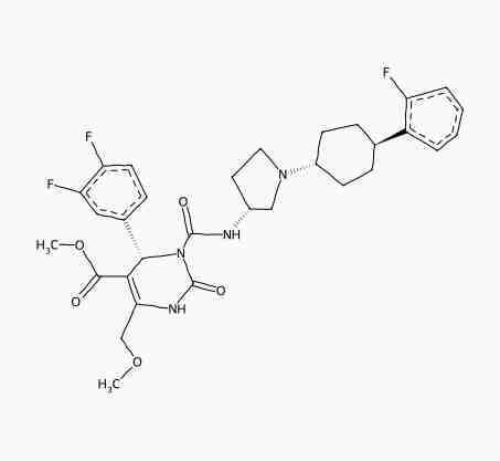 COCC1=C(C(=O)OC)[C@H](c2ccc(F)c(F)c2)N(C(=O)N[C@@H]2CCN([C@H]3CC[C@H](c4ccccc4F)CC3)C2)C(=O)N1